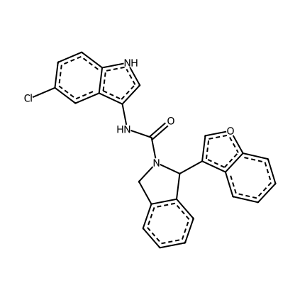 O=C(Nc1c[nH]c2ccc(Cl)cc12)N1Cc2ccccc2C1c1coc2ccccc12